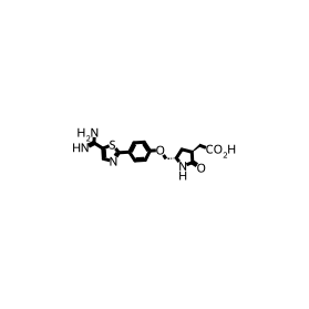 N=C(N)c1cnc(-c2ccc(OC[C@@H]3C[C@@H](CC(=O)O)C(=O)N3)cc2)s1